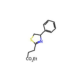 CCOC(=O)CCC1=NC(c2ccccc2)CS1